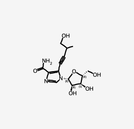 CC(C#Cc1c(C(N)=O)ncn1[C@@H]1O[C@H](CO)[C@@H](O)[C@H]1O)CO